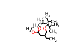 C=CC(CO[Si](C(C)C)(C(C)C)C(C)C)CC(=O)OC